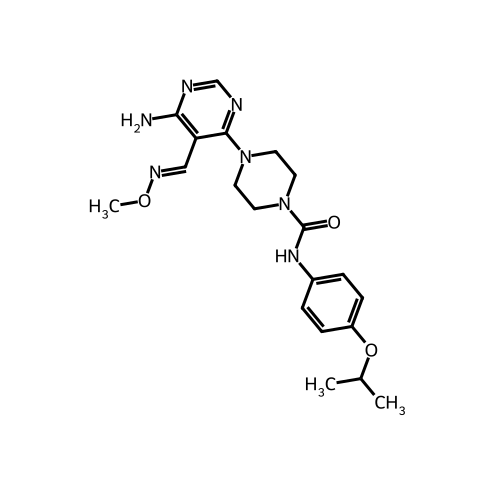 CON=Cc1c(N)ncnc1N1CCN(C(=O)Nc2ccc(OC(C)C)cc2)CC1